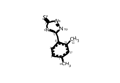 Cc1ccc(C2=NC(=S)N=N2)c(C)c1